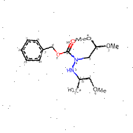 COC[C@H](NN(CC(OC)OC)C(=O)OCc1ccccc1)C(=O)O